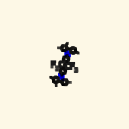 Cc1ccc2c3c(C)cc(C)cc3n(-c3ccc(C(c4ccc(-n5c6cc(C)ccc6c6c(C)cc(C)cc65)cc4)(C(F)(F)F)C(F)(F)F)cc3)c2c1